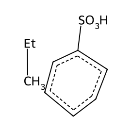 CCC.O=S(=O)(O)c1ccccc1